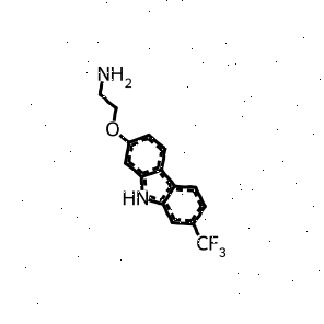 NCCOc1ccc2c(c1)[nH]c1cc(C(F)(F)F)ccc12